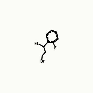 CCC(CCBr)c1ccccc1F